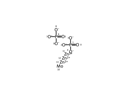 O=P([O-])([O-])[O-].O=P([O-])([O-])[O-].[Mo].[Zn+2].[Zn+2].[Zn+2]